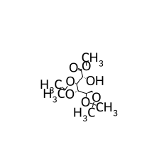 COC(=O)[C@H](O)[C@H]1OC(C)(C)O[C@H]1[C@H]1COC(C)(C)O1